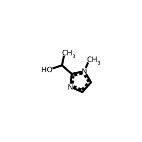 CC(O)c1nccn1C